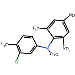 Cc1ccc(N(C=O)c2c([N+](=O)[O-])cc([N+](=O)[O-])cc2C(F)(F)F)cc1Cl